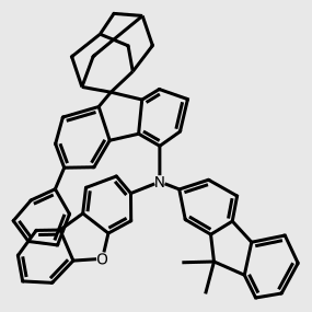 CC1(C)c2ccccc2-c2ccc(N(c3ccc4c(c3)oc3ccccc34)c3cccc4c3-c3cc(-c5ccccc5)ccc3C43C4CC5CC(C4)CC3C5)cc21